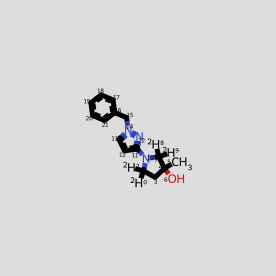 [2H]C1([2H])CC(C)(O)C([2H])([2H])N1c1ccn(Cc2ccccc2)n1